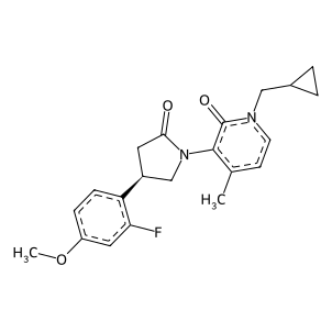 COc1ccc([C@H]2CC(=O)N(c3c(C)ccn(CC4CC4)c3=O)C2)c(F)c1